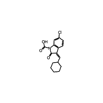 O=C(O)N1C(=O)C(=CC2CCCCC2)c2ccc(Cl)cc21